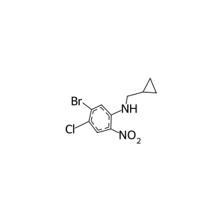 O=[N+]([O-])c1cc(Cl)c(Br)cc1NCC1CC1